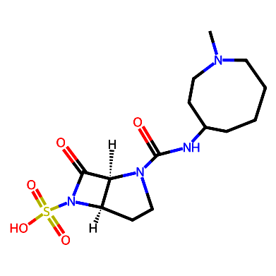 CN1CCCCC(NC(=O)N2CC[C@@H]3[C@H]2C(=O)N3S(=O)(=O)O)CC1